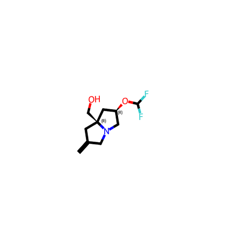 C=C1CN2C[C@H](OC(F)F)C[C@@]2(CO)C1